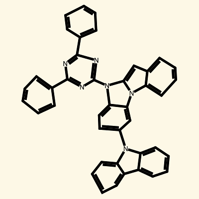 c1ccc(-c2nc(-c3ccccc3)nc(-n3c4ccc(-n5c6ccccc6c6ccccc65)cc4n4c5ccccc5cc34)n2)cc1